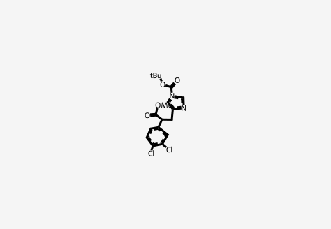 COC(=O)C(Cc1cn(C(=O)OC(C)(C)C)cn1)c1ccc(Cl)c(Cl)c1